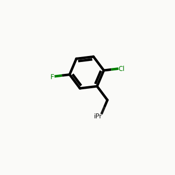 CC(C)Cc1cc(F)ccc1Cl